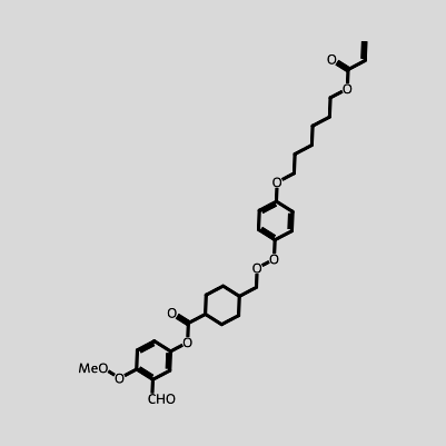 C=CC(=O)OCCCCCCOc1ccc(OOCC2CCC(C(=O)Oc3ccc(OOC)c(C=O)c3)CC2)cc1